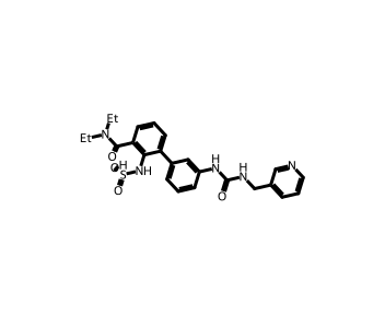 CCN(CC)C(=O)c1cccc(-c2cccc(NC(=O)NCc3cccnc3)c2)c1N[SH](=O)=O